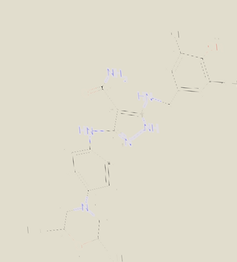 Cc1cc(CNc2[nH]nc(Nc3ccc(N4CC(C)OC(C)C4)cc3)c2C(N)=O)cc(C)c1O